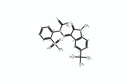 CN1C(=O)/C(=N\N(C(N)=S)c2ccccc2S(N)(=O)=O)c2cc(C(C)(C)C)ccc21